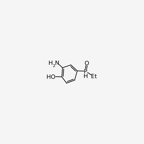 CC[PH](=O)c1ccc(O)c(N)c1